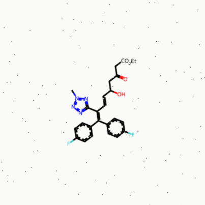 CCOC(=O)CC(=O)CC(O)/C=C/C(=C(c1ccc(F)cc1)c1ccc(F)cc1)c1nnn(C)n1